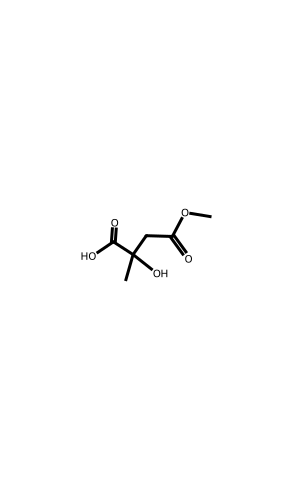 COC(=O)CC(C)(O)C(=O)O